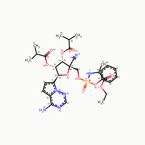 CCOC(=O)C(C)N[P@@](=O)(OC[C@@]1(C#N)O[C@@H](c2ccc3c(N)ncnn23)[C@H](OC(=O)C(C)C)[C@@H]1OC(=O)C(C)C)Oc1ccccc1